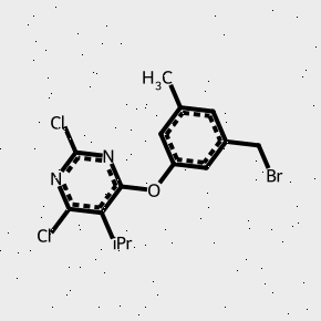 Cc1cc(CBr)cc(Oc2nc(Cl)nc(Cl)c2C(C)C)c1